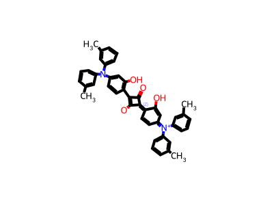 Cc1cccc(N(c2cccc(C)c2)c2ccc(C3=C([O-])/C(=C4\C=CC(=[N+](c5cccc(C)c5)c5cccc(C)c5)C=C4O)C3=O)c(O)c2)c1